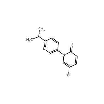 CC(C)c1ccc(-n2cc(Cl)ccc2=O)cn1